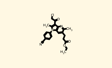 CCOC(=O)CCc1cc2c(nc1C)c(C(=O)CCl)c(C)n2-c1ccc(C#N)cc1